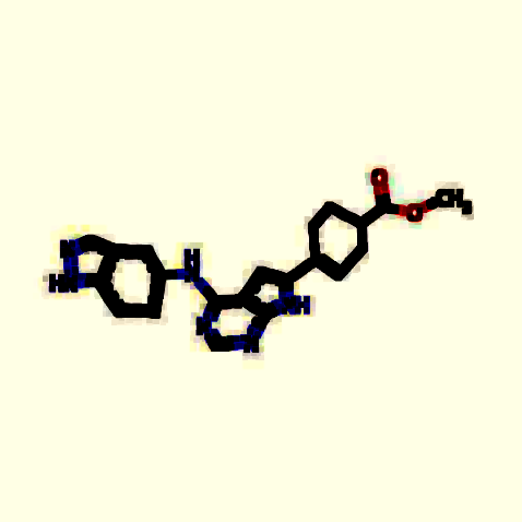 COC(=O)C1CC=C(c2cc3c(Nc4ccc5[nH]ncc5c4)ncnc3[nH]2)CC1